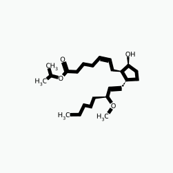 CCCCC[C@@H](/C=C/[C@H]1CC[C@H](O)[C@@H]1C/C=C\CCCC(=O)OC(C)C)OC